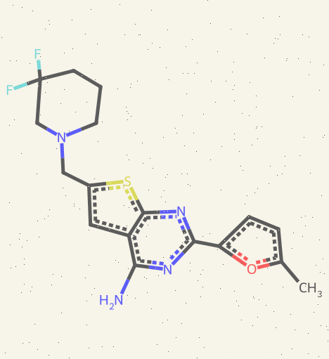 Cc1ccc(-c2nc(N)c3cc(CN4CCCC(F)(F)C4)sc3n2)o1